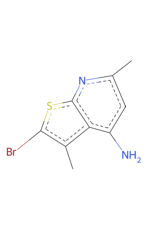 Cc1cc(N)c2c(C)c(Br)sc2n1